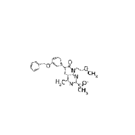 COCCn1c(=O)c(-c2cccc(OCc3ccccc3)c2)cc2c(C)nc([S+](C)[O-])nc21